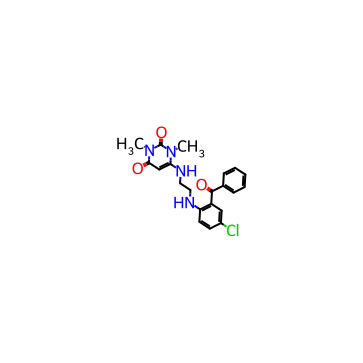 Cn1c(NCCNc2ccc(Cl)cc2C(=O)c2ccccc2)cc(=O)n(C)c1=O